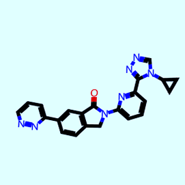 O=C1c2cc(-c3cccnn3)ccc2CN1c1cccc(-c2nncn2C2CC2)n1